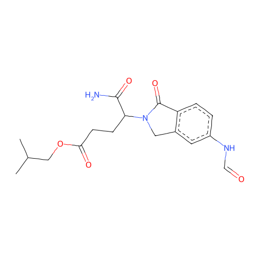 CC(C)COC(=O)CCC(C(N)=O)N1Cc2cc(NC=O)ccc2C1=O